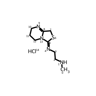 CNCCN=C1SCC2=NCCCN21.Cl